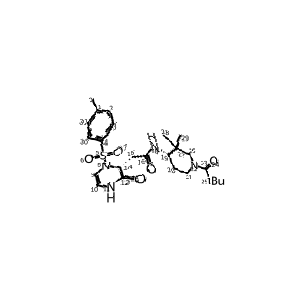 Cc1ccc(S(=O)(=O)N2C=CNC(=O)[C@H]2CC(=O)N[C@H]2CCN(C(=O)C(C)(C)C)CC2(C)C)cc1